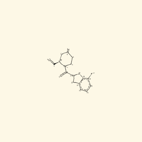 O=C[C@H]1CNCCN1C(=O)N1Cc2cccc(F)c2C1